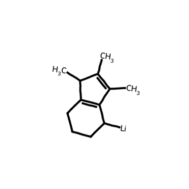 [Li][CH]1CCCC2=C1C(C)=C(C)C2C